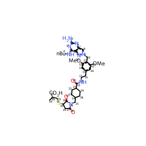 CCCCNc1nc(N)nc2cn(Cc3c(OC)cc(CCNC(=O)C4CCC(CN5C(=O)CC(SC[C@@H](C)C(=O)O)C5=O)CC4)cc3OC)nc12